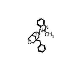 Cc1nc2ccccc2n1N1CC2COCC(Cc3ccccc3)(C2)C1